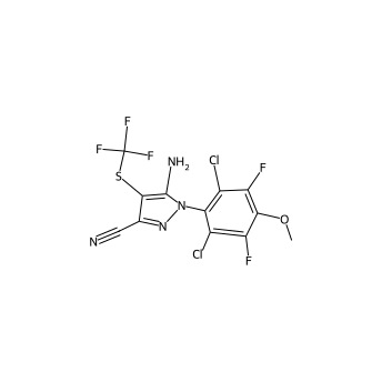 COc1c(F)c(Cl)c(-n2nc(C#N)c(SC(F)(F)F)c2N)c(Cl)c1F